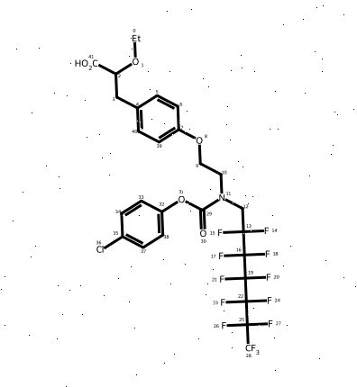 CCOC(Cc1ccc(OCCN(CC(F)(F)C(F)(F)C(F)(F)C(F)(F)C(F)(F)C(F)(F)F)C(=O)Oc2ccc(Cl)cc2)cc1)C(=O)O